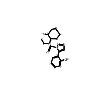 CCN(C(=O)n1nncc1-c1ccccc1Cl)C1CCCCC1F